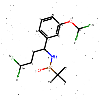 CC(C)(C)[S+]([O-])NC(CCC(F)F)c1cccc(OC(F)F)c1